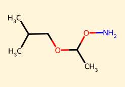 CC(C)COC(C)ON